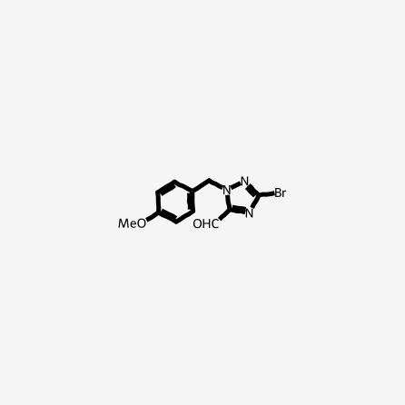 COc1ccc(Cn2nc(Br)nc2C=O)cc1